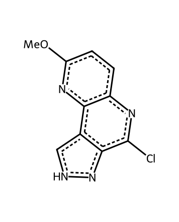 COc1ccc2nc(Cl)c3n[nH]cc3c2n1